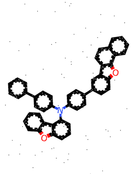 c1ccc(-c2ccc(N(c3ccc(-c4ccc5oc6c7ccccc7ccc6c5c4)cc3)c3cccc4oc5ccccc5c34)cc2)cc1